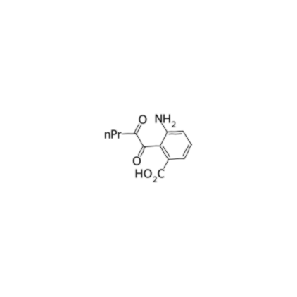 CCCC(=O)C(=O)c1c(N)cccc1C(=O)O